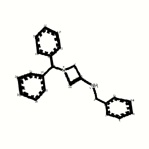 c1ccc(CNC2CN(C(c3ccccc3)c3ccccc3)C2)cc1